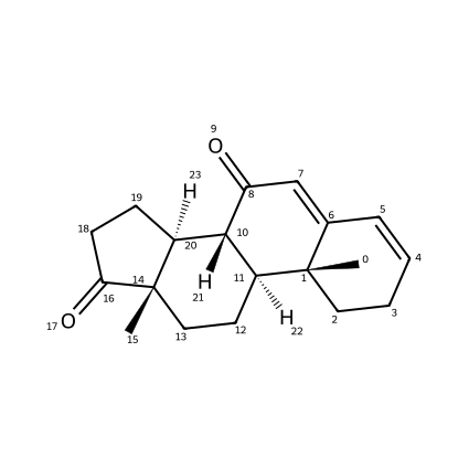 C[C@]12CCC=CC1=CC(=O)[C@@H]1[C@@H]2CC[C@]2(C)C(=O)CC[C@@H]12